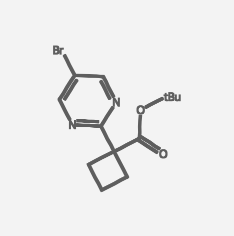 CC(C)(C)OC(=O)C1(c2ncc(Br)cn2)CCC1